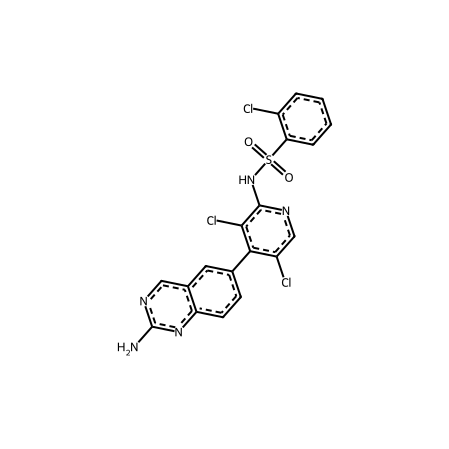 Nc1ncc2cc(-c3c(Cl)cnc(NS(=O)(=O)c4ccccc4Cl)c3Cl)ccc2n1